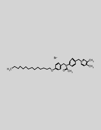 CCCCCCCCCCCCCCOc1ccc(CN(C(C)=O)c2ccc(C[n+]3ccc(C)c(C)c3)cc2)cc1.[Br-]